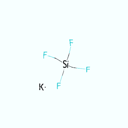 F[Si](F)(F)F.[K]